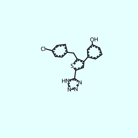 Oc1cccc(-c2cc(-c3nnn[nH]3)sc2Cc2ccc(Cl)cc2)c1